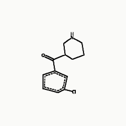 O=C(c1cccc(Cl)c1)C1CCCNC1